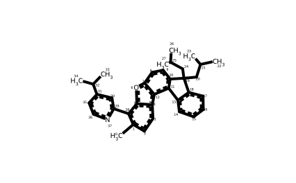 Cc1ccc2c(oc3ccc4c(c32)-c2ccccc2C4(CC(C)C)CC(C)C)c1-c1cc(C(C)C)ccn1